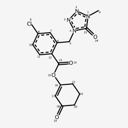 Cn1nnn(Cc2cc(Cl)ccc2C(=O)OC2=CC(=O)CCC2)c1=O